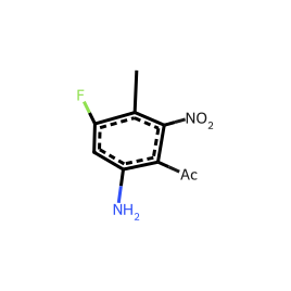 CC(=O)c1c(N)cc(F)c(C)c1[N+](=O)[O-]